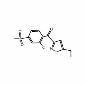 CCc1cc(C(=O)c2ccc(S(C)(=O)=O)cc2Cl)no1